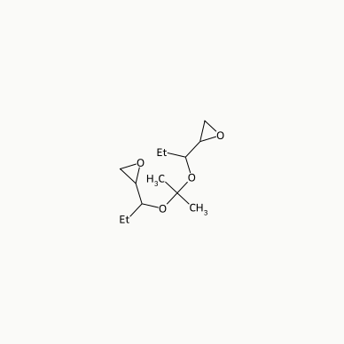 CCC(OC(C)(C)OC(CC)C1CO1)C1CO1